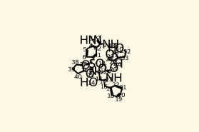 Nc1n[nH]c2ccc(S(=O)(=O)N(C[C@@H](O)[C@H](Cc3ccccc3)NC(=O)O[C@H]3CO[C@H]4OCC[C@H]43)OC3CCCC3)cc12